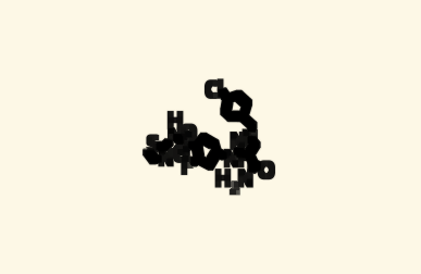 NC(=O)c1cn(Cc2ccc(Cl)cc2)nc1Nc1ccc(S(=O)(=O)Nc2nccs2)c(F)c1